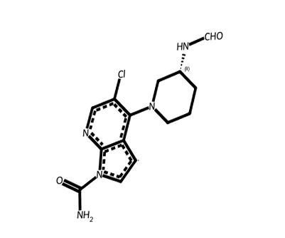 NC(=O)n1c[c]c2c(N3CCC[C@@H](NC=O)C3)c(Cl)cnc21